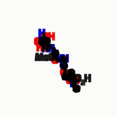 COc1cc(CNC[C@H](O)c2ccc(O)c3[nH]c(=O)ccc23)ccc1C(=O)NCC(=O)N1CCC(COc2cccc([C@@](O)(C(=O)O)c3ccccc3CC3CCN(Cc4ccccc4)CC3)c2)CC1